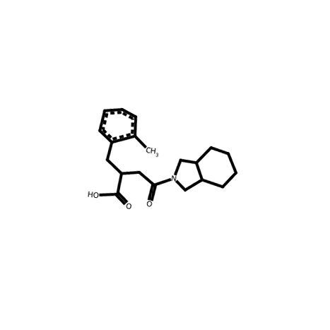 Cc1ccccc1CC(CC(=O)N1CC2CCCCC2C1)C(=O)O